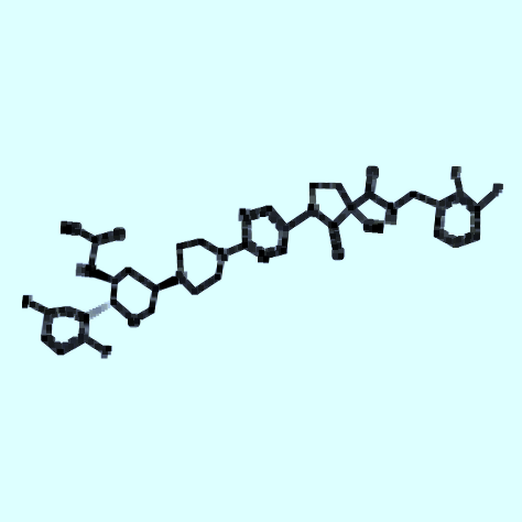 O=C(O)N[C@H]1C[C@@H](N2CCN(c3ncc(N4CCC(O)(C(=O)NCc5cccc(F)c5F)C4=O)cn3)CC2)CO[C@@H]1c1cc(F)ccc1F